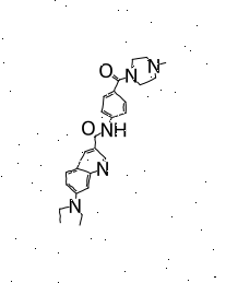 CCN(CC)c1ccc2cc(C(=O)Nc3ccc(C(=O)N4CCN(C)CC4)cc3)cnc2c1